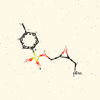 CCCCCCCCCCCC1OC1COS(=O)(=O)c1ccc(C)cc1